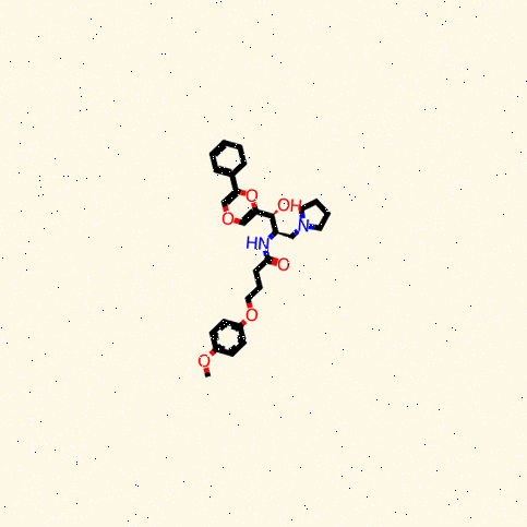 COc1ccc(OCCCC(=O)N[C@H](CN2CCCC2)[C@@H](O)C2=COC=C(C3=CC=CCC3)O2)cc1